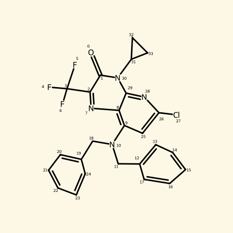 O=c1c(C(F)(F)F)nc2c(N(Cc3ccccc3)Cc3ccccc3)cc(Cl)nc2n1C1CC1